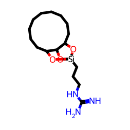 N=C(N)NCCC[Si]12OC3CCCCCCCCCC(O1)C3O2